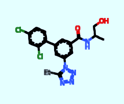 CCc1nnnn1-c1cc(C(=O)NC(C)CO)cc(-c2ccc(Cl)cc2Cl)c1